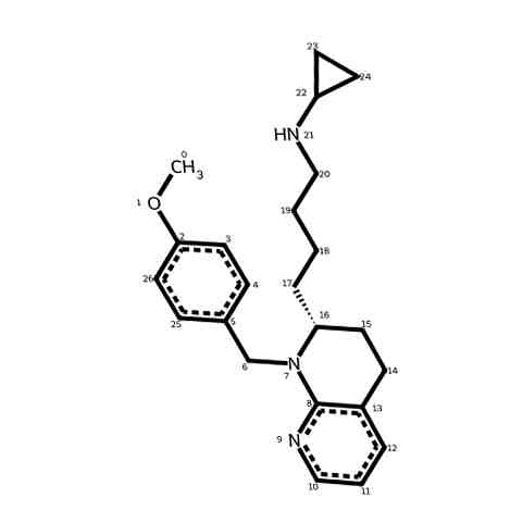 COc1ccc(CN2c3ncccc3CC[C@H]2CCCCNC2CC2)cc1